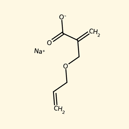 C=CCOCC(=C)C(=O)[O-].[Na+]